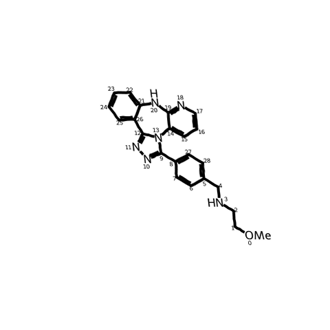 COCCNCc1ccc(-c2nnc3n2-c2cccnc2Nc2ccccc2-3)cc1